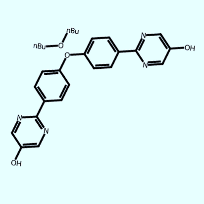 CCCCOCCCC.Oc1cnc(-c2ccc(Oc3ccc(-c4ncc(O)cn4)cc3)cc2)nc1